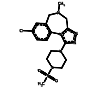 CN1Cc2cc(Cl)ccc2-n2c(nnc2N2CCN(S(C)(=O)=O)CC2)C1